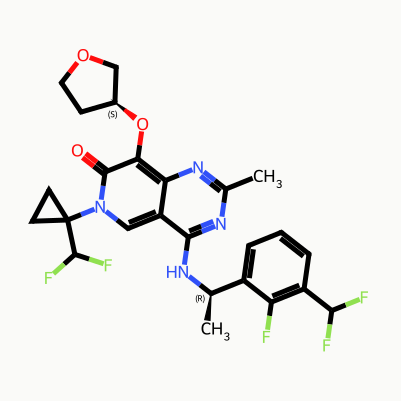 Cc1nc(N[C@H](C)c2cccc(C(F)F)c2F)c2cn(C3(C(F)F)CC3)c(=O)c(O[C@H]3CCOC3)c2n1